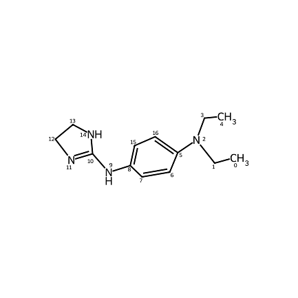 CCN(CC)c1ccc(NC2=NCCN2)cc1